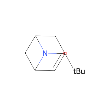 CC(C)(C)CN1C2C=CCC1C2